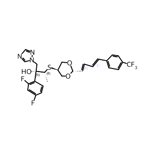 C[C@@H](S[C@H]1CO[C@H](/C=C/C=C/c2ccc(C(F)(F)F)cc2)OC1)[C@](O)(Cn1cncn1)c1ccc(F)cc1F